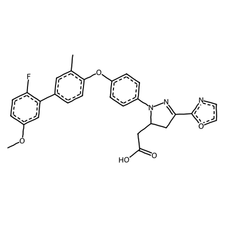 COc1ccc(F)c(-c2ccc(Oc3ccc(N4N=C(c5ncco5)CC4CC(=O)O)cc3)c(C)c2)c1